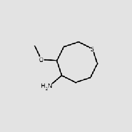 COC1CCSCCCC1N